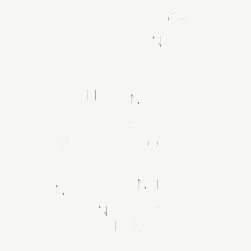 Cc1oc2ncnc(NC3(C)CC3)c2c1C(=O)N1CCCN(C)CC1